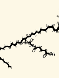 CCCCC/C=C\C/C=C\CCCCCCCCC(CCCCCCCC/C=C\C/C=C\CCCCC)NC(=O)CNC(=O)CCCC(=O)O